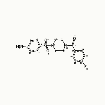 Nc1ccc(S(=O)(=O)N2CCN(C(=O)c3ccc(F)cc3)CC2)cc1